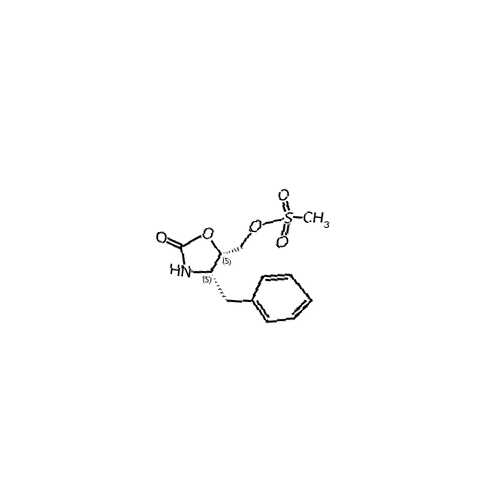 CS(=O)(=O)OC[C@H]1OC(=O)N[C@H]1Cc1ccccc1